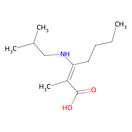 CCCCC(NCC(C)C)=C(C)C(=O)O